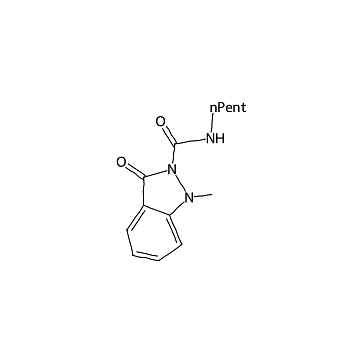 CCCCCNC(=O)n1c(=O)c2ccccc2n1C